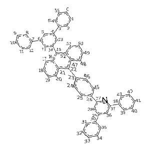 c1ccc(-c2cc(-c3ccccc3)cc(-c3c4ccccc4c(-c4ccc(-c5cc(-c6ccccc6)cc(-c6ccccc6)n5)cc4)c4ccccc34)c2)cc1